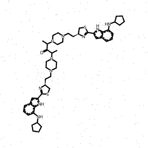 CC(C(=O)C(C)N1CCN(CC[C@H]2CSC(c3cc4cccc(NC5CCCC5)c4[nH]3)=N2)CC1)N1CCN(CC[C@H]2CSC(c3cc4cccc(NC5CCCC5)c4[nH]3)=N2)CC1